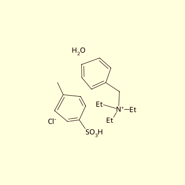 CC[N+](CC)(CC)Cc1ccccc1.Cc1ccc(S(=O)(=O)O)cc1.O.[Cl-]